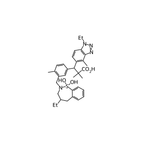 CCC1Cc2ccccc2S(O)(O)N(Cc2cc(C(c3ccc4c(nnn4CC)c3C)C(C)(C)C(=O)O)ccc2C)C1